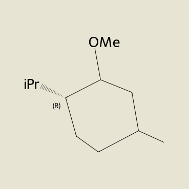 COC1CC(C)CC[C@@H]1C(C)C